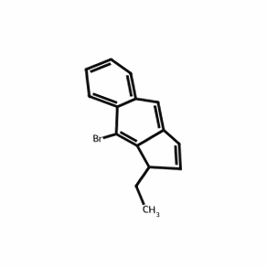 CCC1C=Cc2cc3ccccc3c(Br)c21